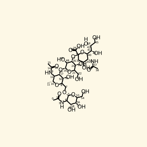 CC(=O)NC1[C@H](OCC2O[C@H](C)C(NC(C)=O)[C@@H](O[C@@H]3OC(CO)[C@H](O)[C@H](O[C@]4(C(=O)O)CC(O)[C@@H](NC(C)=O)C([C@H](O)[C@H](O)CO)O4)C3O)[C@H]2O)OC(CO)[C@@H](O)[C@@H]1O